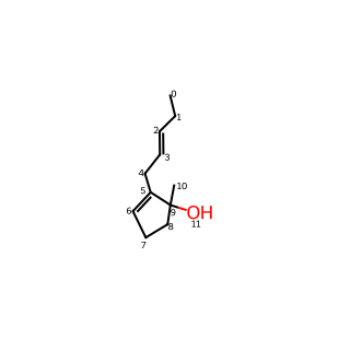 CCC=CCC1=CCCC1(C)O